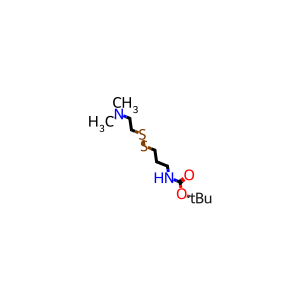 CN(C)CCSSCCCNC(=O)OC(C)(C)C